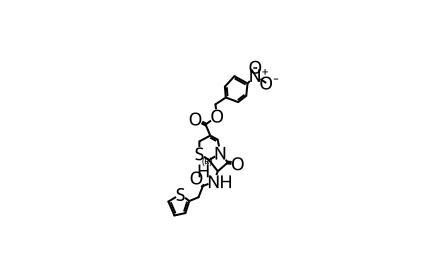 O=C(Cc1cccs1)NC1C(=O)N2C=C(C(=O)OCc3ccc([N+](=O)[O-])cc3)CS[C@H]12